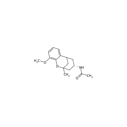 COc1cccc2c1OC1(C)CC2C[C@H](NC(C)=O)C1